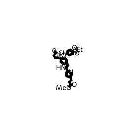 CCS(=O)(=O)c1ccc(Oc2cc3cc(-c4ccc(CCC(=O)OC)cn4)[nH]c3cc2C2CCC(=O)N2C)cc1